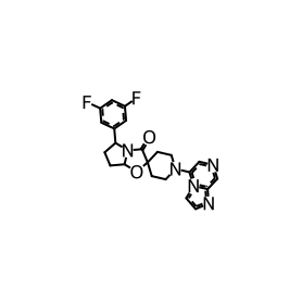 O=C1N2C(CCC2c2cc(F)cc(F)c2)OC12CCN(c1cncc3nccn13)CC2